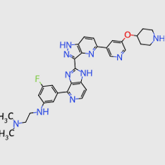 CN(C)CCNc1cc(F)cc(-c2nccc3[nH]c(-c4n[nH]c5ccc(-c6cncc(OC7CCNCC7)c6)nc45)nc23)c1